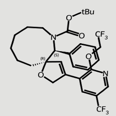 CC(C)(C)OC(=O)N1CCCCCC[C@@]2(C=C(c3cc(C(F)(F)F)cnc3OCC(F)(F)F)CO2)[C@@H]1c1ccccc1